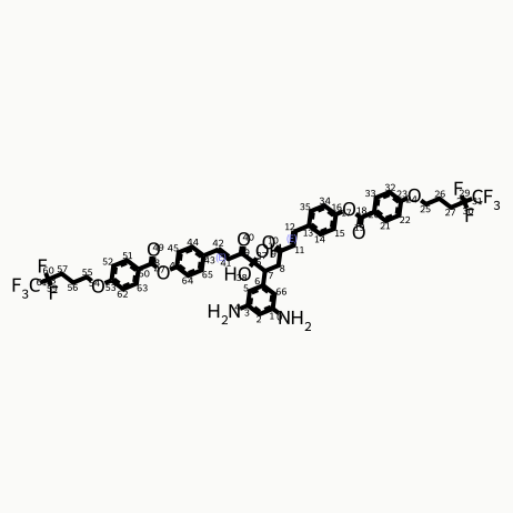 Nc1cc(N)cc(C(CC(=O)/C=C/c2ccc(OC(=O)c3ccc(OCCCC(F)(F)C(F)(F)F)cc3)cc2)C(O)(O)C(=O)/C=C/c2ccc(OC(=O)c3ccc(OCCCC(F)(F)C(F)(F)F)cc3)cc2)c1